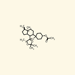 C=C1CCC2C([C@H]3OC(C)(C)O[C@@H]3C)C([C@]3(C)CC[C@@H](OC(C)=O)CC3)CC[C@]12C